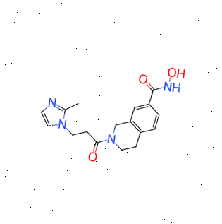 Cc1nccn1CCC(=O)N1CCc2ccc(C(=O)NO)cc2C1